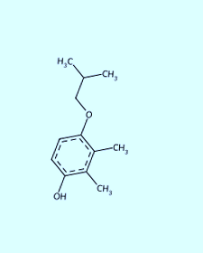 Cc1c(O)ccc(OCC(C)C)c1C